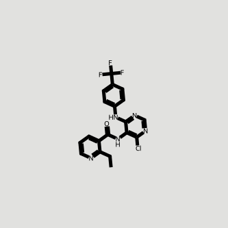 CCc1ncccc1C(=O)Nc1c(Cl)ncnc1Nc1ccc(C(F)(F)F)cc1